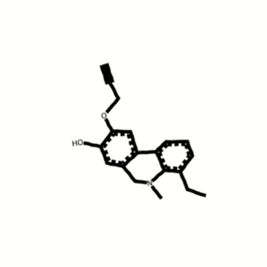 C#CCOc1cc2c(cc1O)CN(C)c1c(CC)cccc1-2